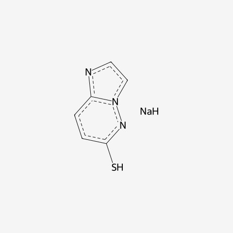 Sc1ccc2nccn2n1.[NaH]